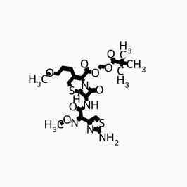 COC/C=C\C1=C(C(=O)OCOC(=O)C(C)(C)C)N2C(=O)C(NC(=O)/C(=N\OC)c3csc(N)n3)[C@H]2SC1